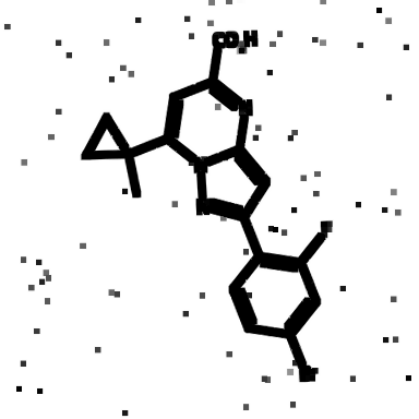 CC1(c2cc(C(=O)O)nc3cc(-c4ccc(Br)cc4F)nn23)CC1